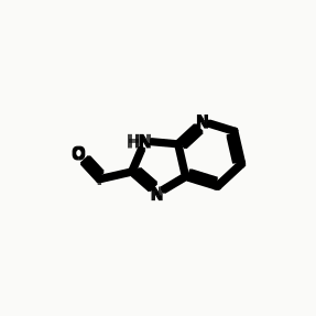 O=[C]c1nc2cccnc2[nH]1